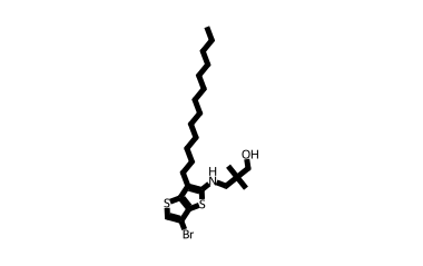 CCCCCCCCCCCCCc1c(NCC(C)(C)CO)sc2c(Br)csc12